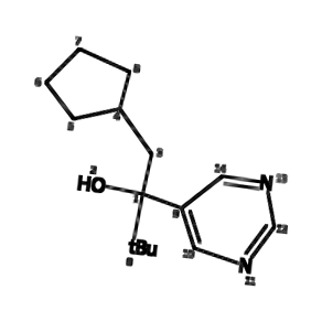 CC(C)(C)C(O)(CC1CCCC1)c1cncnc1